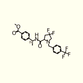 COC(=O)c1ccc([C@H](C)NC(=O)C2CC(F)(F)CN2Cc2ccc(C(F)(F)F)cc2)cc1